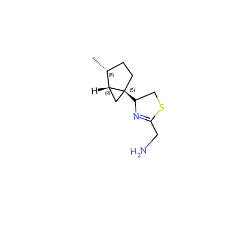 C[C@@H]1CC[C@]2(C3CSC(CN)=N3)C[C@H]12